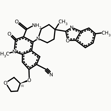 Cc1ccc2oc(C3(C)CCN(c4c(C(N)=O)c(=O)n(C)c5cc(O[C@H]6CCOC6)c(C#N)cc45)CC3)nc2c1